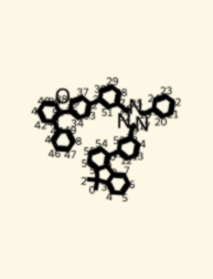 CC1(C)c2ccccc2-c2c(-c3cccc(-c4nc(-c5ccccc5)nc(-c5cccc(-c6ccc7c(c6)oc6cccc(-c8ccccc8)c67)c5)n4)c3)cccc21